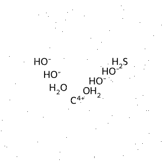 O.O.S.[C+4].[OH-].[OH-].[OH-].[OH-]